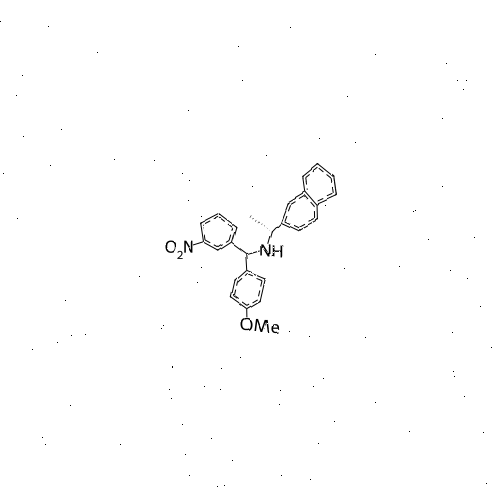 COc1ccc(C(N[C@H](C)c2ccc3ccccc3c2)c2cccc([N+](=O)[O-])c2)cc1